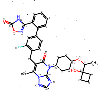 CCCc1c(Cc2ccc(-c3ccccc3-c3noc(=O)[nH]3)cc2F)c(=O)n(C2CCC(OC(C)C3(O)CCC3)CC2)c2ncnn12